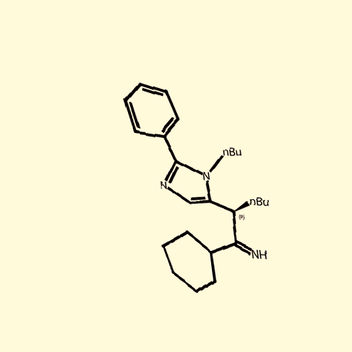 CCCC[C@@H](C(=N)C1CCCCC1)c1cnc(-c2ccccc2)n1CCCC